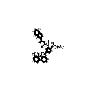 C=C(CC(=O)Nc1cc(CO[Si](c2ccccc2)(c2ccccc2)C(C)(C)C)ccc1C(=O)OC)c1ccc2ccccc2c1